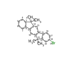 CC1(C)c2ccccc2-c2cc3c(cc21)-c1ccc(Br)cc1C3(C)C